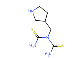 NC(=S)N(CC1CCNC1)C(N)=S